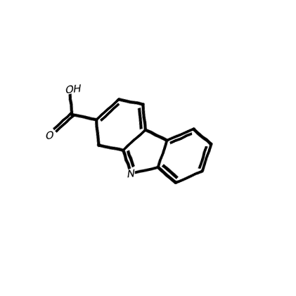 O=C(O)C1=CC=C2C(=Nc3ccccc32)C1